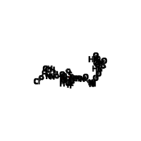 CC1(C)CCC(c2ccc(Cl)cc2)=C(CN2CCN(c3ccc(C(=O)NS(=O)(=O)c4ccc(N[C@H](CCN5CCN(C(=O)CCCn6cc(COCCOCCNc7cccc8c7C(=O)N(C7CCC(=O)NC7=O)C8=O)nn6)CC5)CSc5ccccc5)c(S(=O)(=O)C(F)(F)F)c4)cc3)CC2)C1